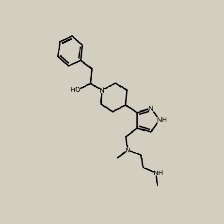 CNCCN(C)Cc1c[nH]nc1C1CCN(C(O)Cc2ccccc2)CC1